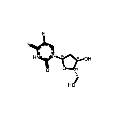 O=c1[nH]c(=S)c(F)cn1[C@H]1C[C@@H](O)[C@H](CO)O1